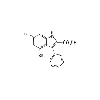 CCOC(=O)c1[nH]c2cc(Br)cc(Br)c2c1-c1ccccc1